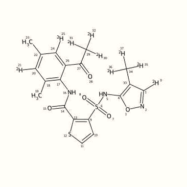 [2H]c1noc(NS(=O)(=O)c2ccsc2C(=O)Nc2c(C)c([2H])c(C)c([2H])c2C(=O)C([2H])([2H])[2H])c1C([2H])([2H])[2H]